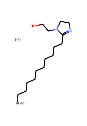 Br.CCCCCCCCCCCCCCCCCCCCC1=NCCN1CCO